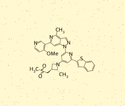 COc1ccncc1-c1cc2c(cnn2-c2cc(N3C[C@H](CS(C)(=O)=O)[C@H]3C)cc(-c3cc4ccccc4s3)n2)c(C)n1